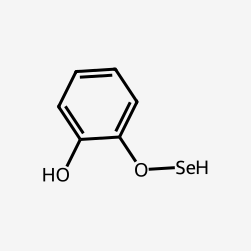 Oc1ccccc1O[SeH]